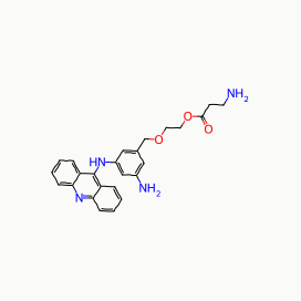 NCCC(=O)OCCOCc1cc(N)cc(Nc2c3ccccc3nc3ccccc23)c1